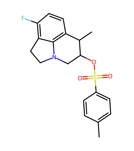 Cc1ccc(S(=O)(=O)OC2CN3CCc4c(F)ccc(c43)C2C)cc1